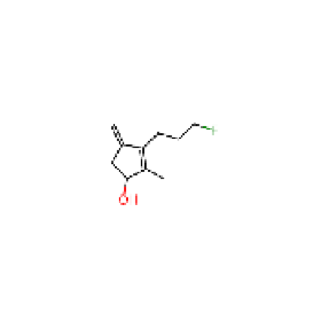 C=C1CC(O)C(C)=C1CCCF